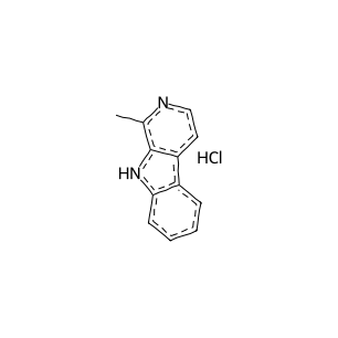 Cc1nccc2c1[nH]c1ccccc12.Cl